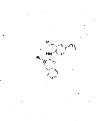 CCC(C)N(Cc1ccccc1)C(=O)Nc1ccc(C)cc1C